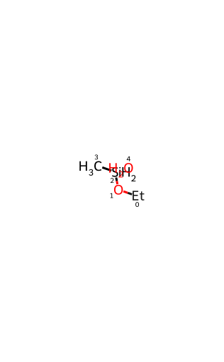 CCO[SiH2]C.O